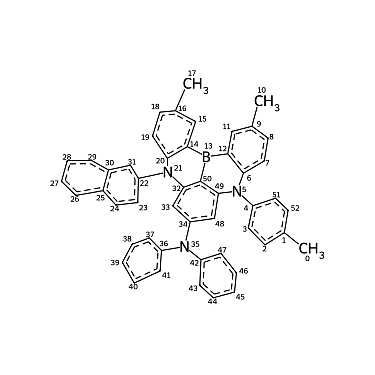 Cc1ccc(N2c3ccc(C)cc3B3c4cc(C)ccc4N(c4ccc5ccccc5c4)c4cc(N(c5ccccc5)c5ccccc5)cc2c43)cc1